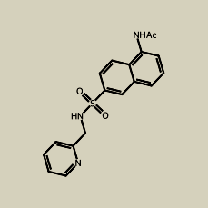 CC(=O)Nc1cccc2cc(S(=O)(=O)NCc3ccccn3)ccc12